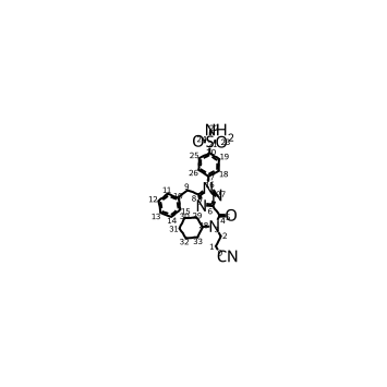 N#CCCN(C(=O)c1nc(Cc2ccccc2)n(-c2ccc(S(N)(=O)=O)cc2)n1)C1CCCCC1